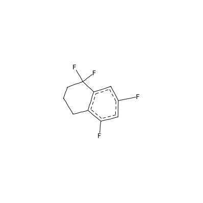 Fc1cc(F)c2c(c1)C(F)(F)CCC2